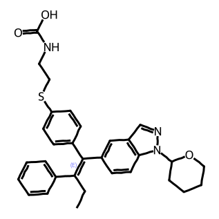 CC/C(=C(/c1ccc(SCCNC(=O)O)cc1)c1ccc2c(cnn2C2CCCCO2)c1)c1ccccc1